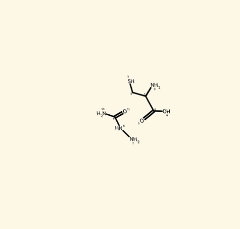 NC(CS)C(=O)O.NNC(N)=O